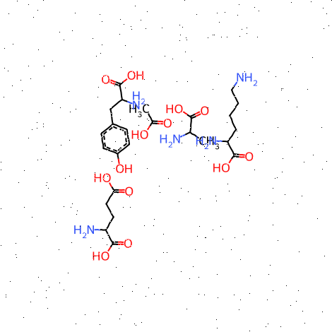 CC(=O)O.CC(N)C(=O)O.NC(CCC(=O)O)C(=O)O.NC(Cc1ccc(O)cc1)C(=O)O.NCCCCC(N)C(=O)O